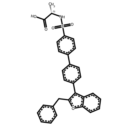 C[C@H](NS(=O)(=O)c1ccc(-c2ccc(-c3c(Cc4ccccc4)oc4ccccc34)cc2)cc1)C(=O)O